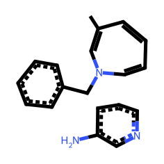 CC1=CN(Cc2ccccc2)C=CC=C1.Nc1cccnc1